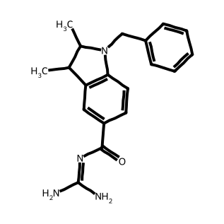 CC1c2cc(C(=O)N=C(N)N)ccc2N(Cc2ccccc2)C1C